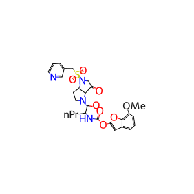 CCCC(NC(=O)Oc1cc2cccc(OC)c2o1)C(=O)N1CCC2C1C(=O)CN2S(=O)(=O)Cc1cccnc1